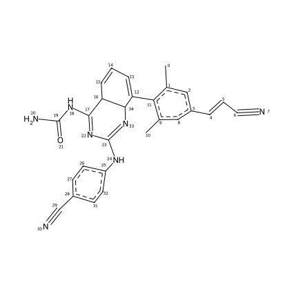 Cc1cc(/C=C/C#N)cc(C)c1C1=CC=CC2C(NC(N)=O)=NC(Nc3ccc(C#N)cc3)=NC12